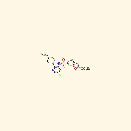 CCOC(=O)c1cc2ccc(S(=O)(=O)Nc3cc(Cl)cnc3N3CCC(OC)CC3)cc2o1